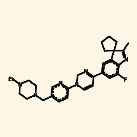 CCN1CCN(Cc2ccc(N3C=CC(c4cc(F)c5c(c4)C4(CCCC4)C(C)=N5)=NC3)nc2)CC1